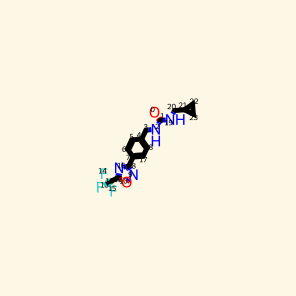 O=C(NCc1ccc(-c2noc(C(F)(F)F)n2)cc1)NCC1CC1